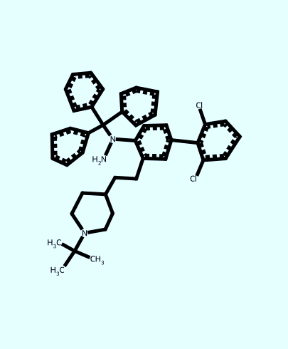 CC(C)(C)N1CCC(CCc2cc(-c3c(Cl)cccc3Cl)ccc2N(N)C(c2ccccc2)(c2ccccc2)c2ccccc2)CC1